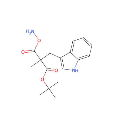 CC(C)(C)OC(=O)C(C)(Cc1c[nH]c2ccccc12)C(=O)ON